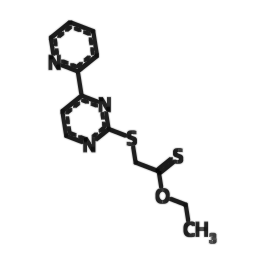 CCOC(=S)CSc1nccc(-c2ccccn2)n1